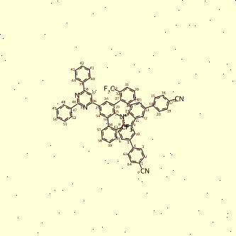 N#Cc1ccc(-c2ccc3c(c2)c2cc(-c4ccc(C#N)cc4)ccc2n3-c2c(-c3ccccc3C(F)(F)F)cc(-c3cc(-c4ccccc4)nc(-c4ccccc4)n3)cc2-c2ccccc2C(F)(F)F)cc1